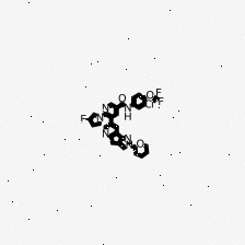 O=C(Nc1ccc(OC(F)(F)Cl)cc1)c1cnc(N2CC[C@@H](F)C2)c(-c2cnc3c(c2)-c2nn(C4CCCCO4)cc2C3)c1